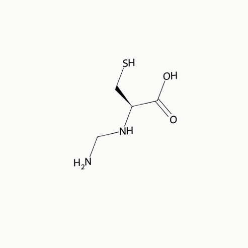 NCN[C@@H](CS)C(=O)O